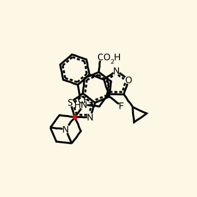 O=C(O)c1cc(F)c2nc(N3C4CC(NCc5c(-c6ccccc6C(F)(F)F)noc5C5CC5)CC3C4)sc2c1